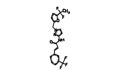 CC(F)(F)c1ccc(Cn2ccc(NC(=O)C=Cc3cccc(C(F)(F)F)c3)n2)o1